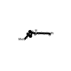 COCCOCCn1nnc2c1-c1ccccc1CN(C(=O)CCC(=O)NCCOCCOCCOCCOCCC(=O)C(C)C)c1ccccc1-2